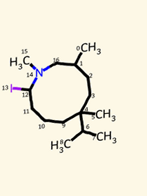 CC1CCC(C)(C(C)C)CCCC(I)N(C)C1